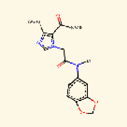 CCN(C(=O)Cn1cnc(NC)c1C(=O)NC)c1ccc2c(c1)OCO2